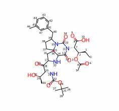 CC[C@@H](OC(C)=O)[C@@H](C(=O)O)N(C(=O)C1CCC(C(=O)[C@H](NC(=O)OC(C)(C)C)[C@@H](C)O)N1)C(=O)N1CCCC1Cc1cccc(C)c1